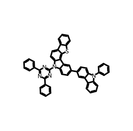 c1ccc(-c2nc(-c3ccccc3)nc(-n3c4ccc(-c5ccc6c(c5)c5ccccc5n6-c5ccccc5)cc4c4c5sc6ccccc6c5ccc43)n2)cc1